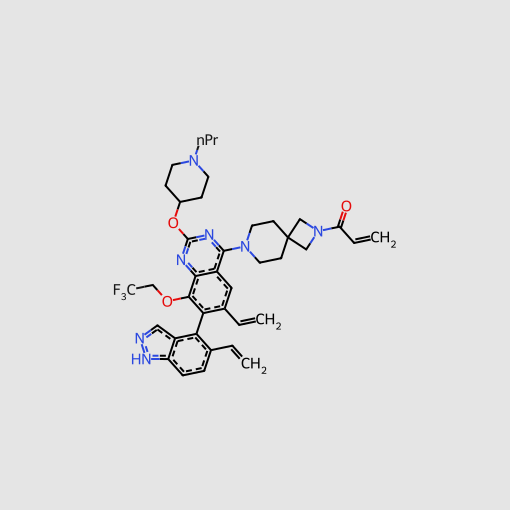 C=CC(=O)N1CC2(CCN(c3nc(OC4CCN(CCC)CC4)nc4c(OCC(F)(F)F)c(-c5c(C=C)ccc6[nH]ncc56)c(C=C)cc34)CC2)C1